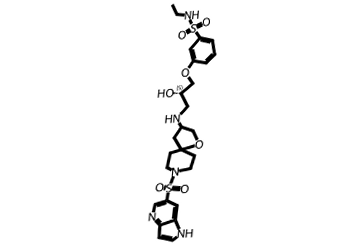 CCNS(=O)(=O)c1cccc(OC[C@@H](O)CNC2COC3(CCN(S(=O)(=O)c4cnc5cc[nH]c5c4)CC3)C2)c1